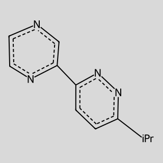 CC(C)c1ccc(-c2cnccn2)nn1